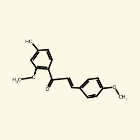 COc1ccc(/C=C/C(=O)c2ccc(O)cc2OC)cc1